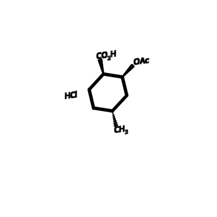 CC(=O)O[C@H]1C[C@H](C)CC[C@H]1C(=O)O.Cl